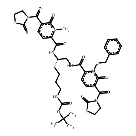 Cn1c(C(=O)N[C@@H](CCCCNC(=O)OC(C)(C)C)CNC(=O)c2ccc(C(=O)N3CCSC3=S)c(=O)n2OCc2ccccc2)ccc(C(=O)N2CCSC2=S)c1=O